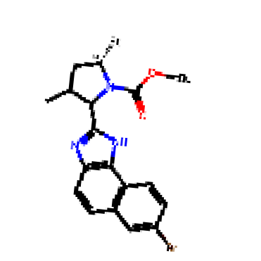 CC[C@H]1CC(C)C(c2nc3ccc4cc(Br)ccc4c3[nH]2)N1C(=O)OC(C)(C)C